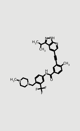 Cc1ccc(C(=O)Nc2ccc(CN3CCN(C)CC3)c(C(F)(F)F)c2)cc1C#Cc1cnc2[nH]nc(C(C)C)c2c1